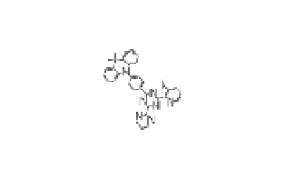 CC1(C)c2ccccc2N(c2ccc(-c3nc(-c4ncccn4)nc(-c4ncccc4I)n3)cc2)c2ccccc21